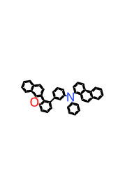 c1ccc(N(c2cccc(-c3cccc4oc5c6ccccc6ccc5c34)c2)c2cccc3c2ccc2ccccc23)cc1